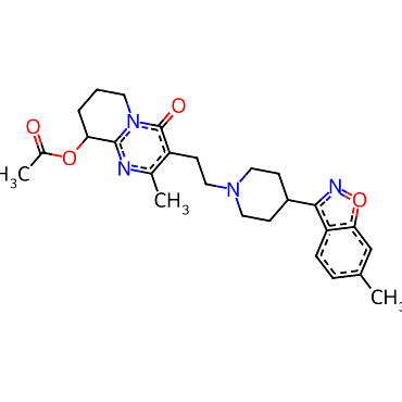 CC(=O)OC1CCCn2c1nc(C)c(CCN1CCC(c3noc4cc(C)ccc34)CC1)c2=O